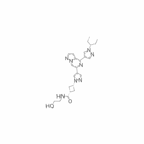 CCC(CC)n1cc(-c2nc(-c3cnn([C@H]4C[C@@H](C(=O)NCCO)C4)c3)cn3nccc23)cn1